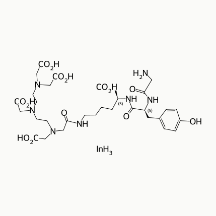 NCC(=O)N[C@@H](Cc1ccc(O)cc1)C(=O)N[C@@H](CCCCNC(=O)CN(CCN(CCN(CC(=O)O)CC(=O)O)CC(=O)O)CC(=O)O)C(=O)O.[InH3]